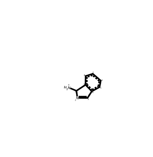 NC1N=Cc2ccccc21